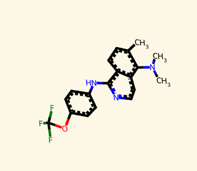 Cc1ccc2c(Nc3ccc(OC(F)(F)F)cc3)nccc2c1N(C)C